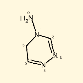 NN1C=NN=CC1